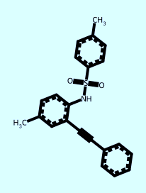 Cc1ccc(S(=O)(=O)Nc2ccc(C)cc2C#Cc2ccccc2)cc1